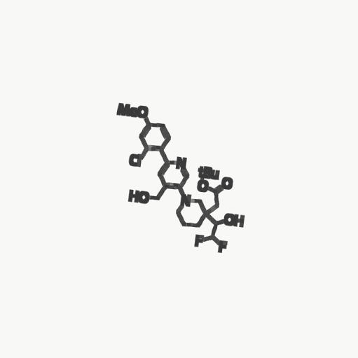 COc1ccc(-c2cc(CO)c(N3CCCC(CC(=O)OC(C)(C)C)(C(O)C(F)F)C3)cn2)c(Cl)c1